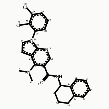 CN(C)c1c(C(=O)NC2CCCc3ccccc32)cnc2c1ccn2-c1cccc(Cl)c1Cl